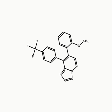 COc1ccccc1-c1ccn2n[c]nc2c1-c1ccc(C(F)(F)F)cc1